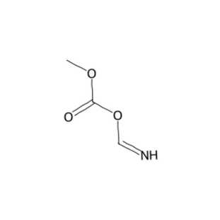 COC(=O)OC=N